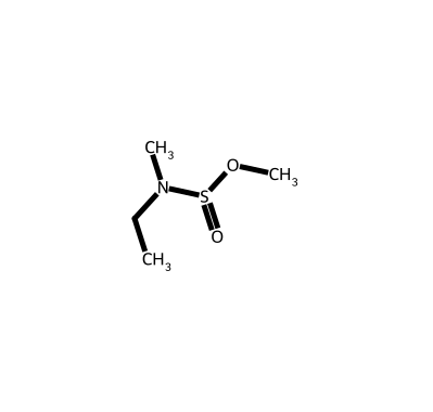 CCN(C)S(=O)OC